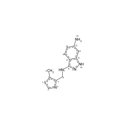 Cc1scnc1CNc1n[nH]c2cc(N)ccc12